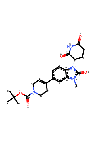 Cn1c(=O)n([C@H]2CCC(=O)NC2=O)c2ccc(C3=CCN(C(=O)OC(C)(C)C)CC3)cc21